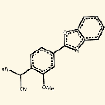 CCCC(C#N)c1ccc(-c2nc3ccccc3o2)cc1OC